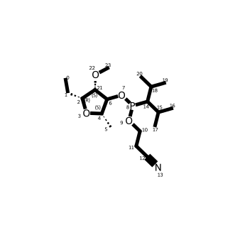 CC[C@H]1O[C@@H](C)C(OP(OCCC#N)C(C(C)C)C(C)C)[C@H]1OC